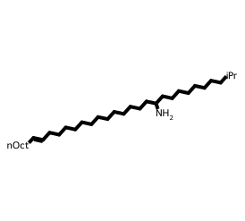 CCCCCCCCC=CCCCCCCCCCCCCCC(N)CCCCCCCCC(C)C